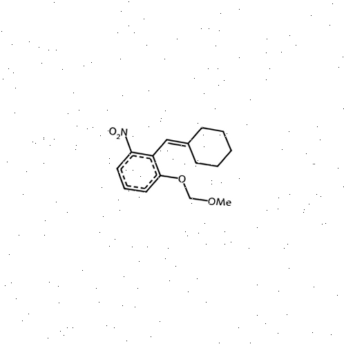 COCOc1cccc([N+](=O)[O-])c1C=C1CCCCC1